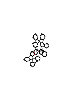 c1ccc(N(c2ccc3c(c2)C2(c4ccccc4-c4ccccc42)c2ccccc2-3)c2ccc3c(c2)C2(c4ccccc4-3)c3ccccc3-c3c2cc(N(c2ccccc2)c2ccccc2)c2ccccc32)cc1